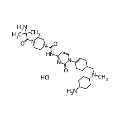 CN(CC1CC=C(n2ccc(NC(=O)N3CCN(C(=O)C(C)(C)N)CC3)nc2=O)CC1)[C@H]1CC[C@H](N)CC1.Cl